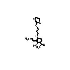 CCCc1c(OCCCSC2=NCCS2)ccc(C(C)=O)c1O